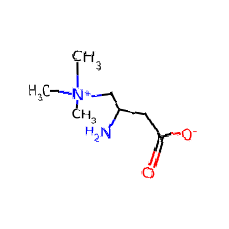 C[N+](C)(C)CC(N)CC(=O)[O-]